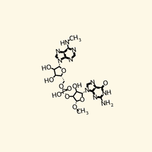 CNc1ncnc2c1ncn2[C@@H]1O[C@H](COP(=O)(O)OC2C(O)[C@H](n3cnc4c(=O)[nH]c(N)nc43)O[C@@H]2OC)C(O)C1O